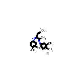 CCCCCCCCC=CC(=Nc1ccc(C)c(C)c1)C(C)=Nc1ccc(C)c(C)c1.[Ni]